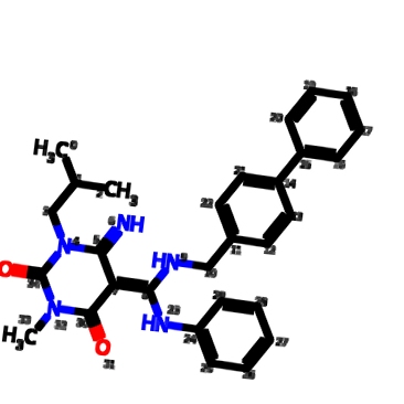 CC(C)CN1C(=N)/C(=C(\NCc2ccc(-c3ccccc3)cc2)Nc2ccccc2)C(=O)N(C)C1=O